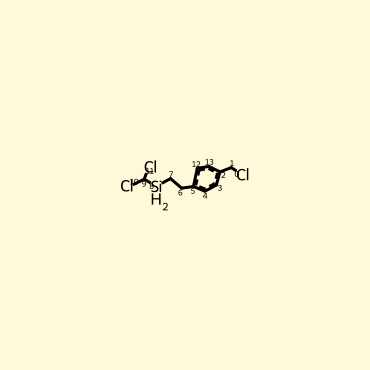 ClCc1ccc(CC[SiH2]C(Cl)Cl)cc1